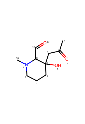 CC(=O)CC1(O)CCCN(C)C1C=O